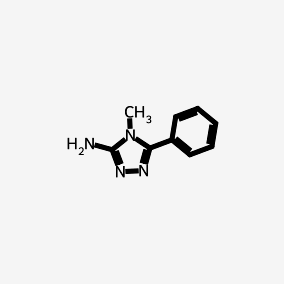 Cn1c(N)nnc1-c1ccccc1